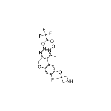 Cc1c2c(nn(OC(=O)C(F)(F)F)[n+]1=O)COc1cc(F)c(OC3(C)CNC3)cc1-2